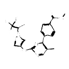 COC(=O)c1ccc(-c2nc(Nc3cnn(C(C)C(F)(F)F)c3)ncc2C)cc1